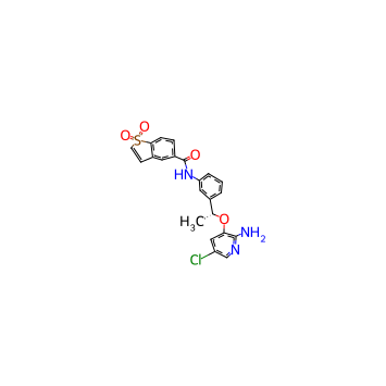 C[C@@H](Oc1cc(Cl)cnc1N)c1cccc(NC(=O)c2ccc3c(c2)C=CS3(=O)=O)c1